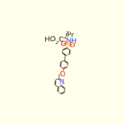 CC(C)C(NS(=O)(=O)c1ccc(-c2ccc(OCc3ccc4ccccc4n3)cc2)cc1)C(=O)O